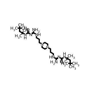 CC(C)(C)CC(C)(C)NC(=O)N=C(N)NCCCN1CCN(CCCNC(N)=NC(=O)NC(C)(C)CC(C)(C)C)CC1